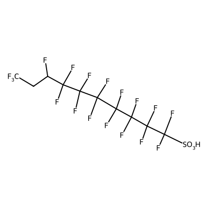 O=S(=O)(O)C(F)(F)C(F)(F)C(F)(F)C(F)(F)C(F)(F)C(F)(F)C(F)(F)C(F)CC(F)(F)F